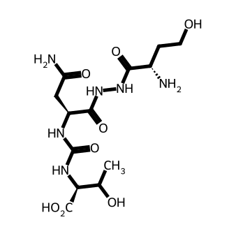 CC(O)[C@H](NC(=O)N[C@@H](CC(N)=O)C(=O)NNC(=O)[C@@H](N)CCO)C(=O)O